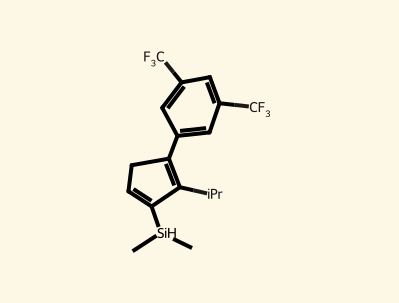 CC(C)C1=C(c2cc(C(F)(F)F)cc(C(F)(F)F)c2)CC=C1[SiH](C)C